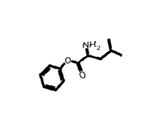 CC(C)CC(N)C(=O)Oc1ccccc1